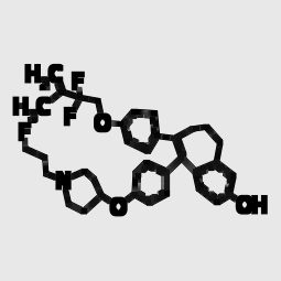 C=C(C)C(F)(F)COc1ccc(C2=C(c3ccc(OC4CCN(CCCF)CC4)cc3)c3ccc(O)cc3CCC2)cc1